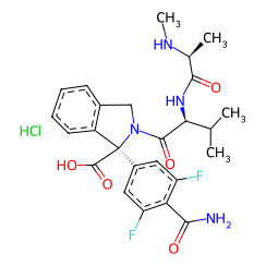 CN[C@@H](C)C(=O)N[C@H](C(=O)N1Cc2ccccc2[C@@]1(C(=O)O)c1cc(F)c(C(N)=O)c(F)c1)C(C)C.Cl